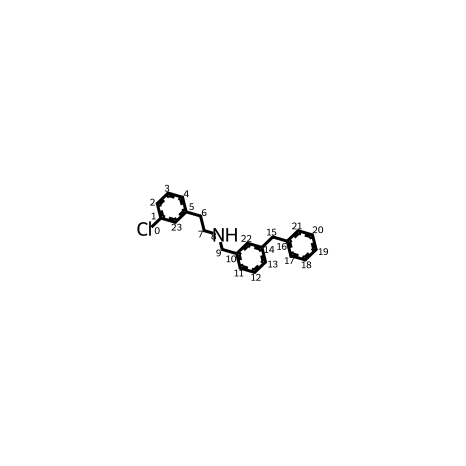 Clc1cccc(CCNCc2cccc(Cc3ccccc3)c2)c1